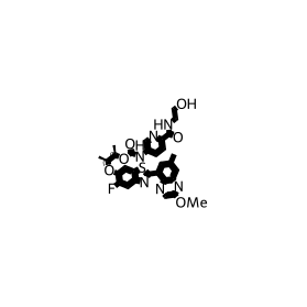 COc1cnc2c(-c3nc4cc(F)c(O[C@@H](C)[C@@H](C)OC(=O)Nc5ccc(C(=O)NCCO)nc5)cc4s3)cc(C)cc2n1